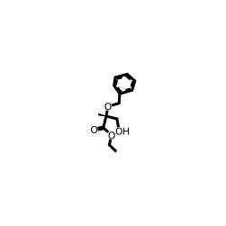 CCOC(=O)[C@@](C)(CO)OCc1ccccc1